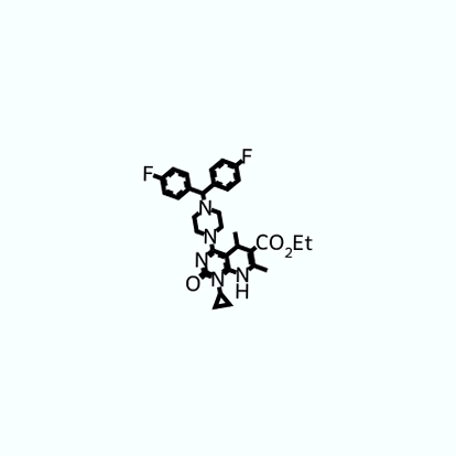 CCOC(=O)C1=C(C)Nc2c(c(N3CCN(C(c4ccc(F)cc4)c4ccc(F)cc4)CC3)nc(=O)n2C2CC2)C1C